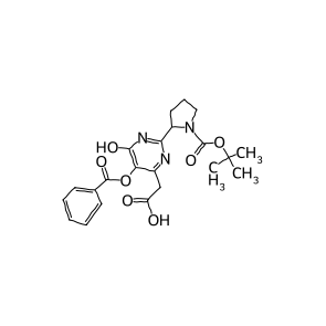 CC(C)(C)OC(=O)N1CCCC1c1nc(O)c(OC(=O)c2ccccc2)c(CC(=O)O)n1